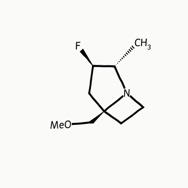 COC[C@]12CCN1[C@@H](C)[C@H](F)C2